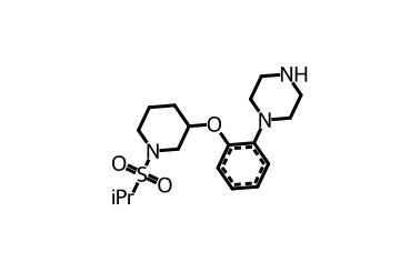 CC(C)S(=O)(=O)N1CCCC(Oc2ccccc2N2CCNCC2)C1